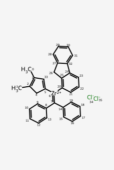 CC1=C(C)C[C]([Zr+2](=[C](c2ccccc2)c2ccccc2)[c]2cccc3c2Cc2ccccc2-3)=C1.[Cl-].[Cl-]